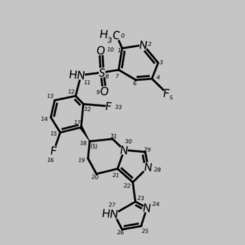 Cc1ncc(F)cc1S(=O)(=O)Nc1ccc(F)c([C@@H]2CCc3c(-c4ncc[nH]4)ncn3C2)c1F